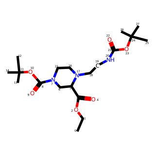 CCOC(=O)C1CN(C(=O)OC(C)(C)C)CCN1CCNC(=O)OC(C)(C)C